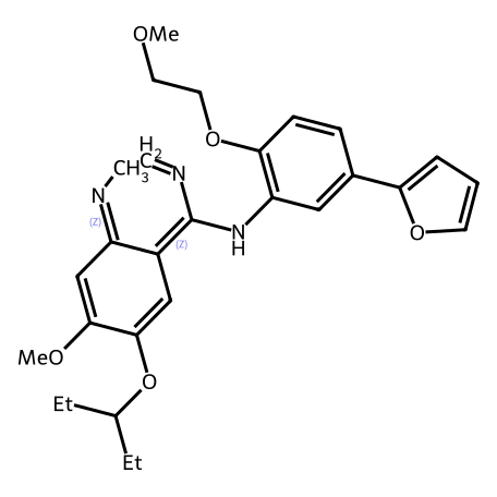 C=N/C(Nc1cc(-c2ccco2)ccc1OCCOC)=C1/C=C(OC(CC)CC)C(OC)=C/C1=N/C